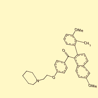 COc1ccc2c(C(=O)c3ccc(OCCN4CCCCC4)cc3)c(-c3cccc(OC)c3C)ccc2c1